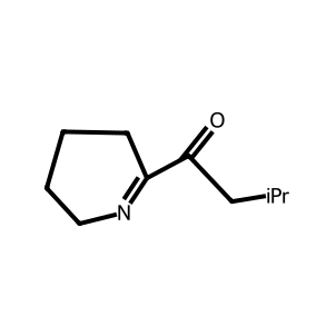 CC(C)CC(=O)C1=NCCCC1